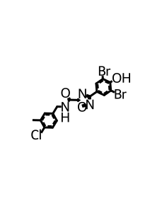 Cc1cc(CNC(=O)c2nc(-c3cc(Br)c(O)c(Br)c3)no2)ccc1Cl